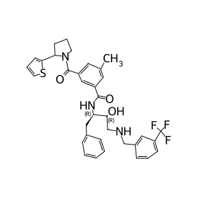 Cc1cc(C(=O)N[C@H](Cc2ccccc2)[C@H](O)CNCc2cccc(C(F)(F)F)c2)cc(C(=O)N2CCCC2c2cccs2)c1